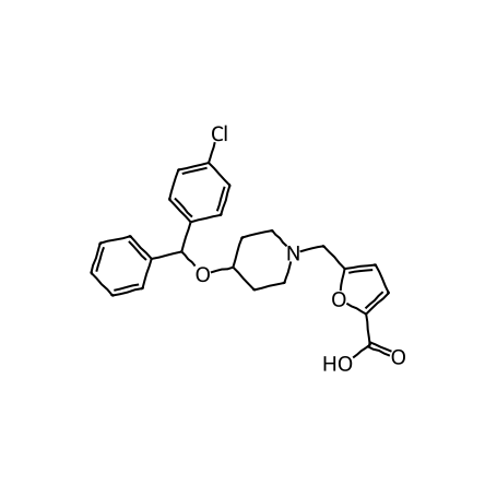 O=C(O)c1ccc(CN2CCC(OC(c3ccccc3)c3ccc(Cl)cc3)CC2)o1